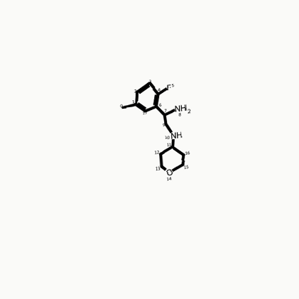 Cc1ccc(F)c(C(N)CNC2CCOCC2)c1